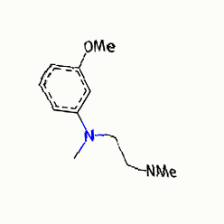 CNCCN(C)c1cccc(OC)c1